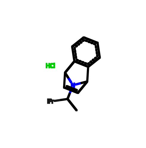 CC(C)C(C)N1C2C=CC1c1ccccc12.Cl